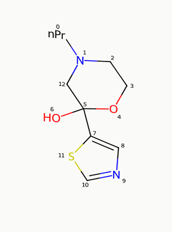 CCCN1CCOC(O)(c2cncs2)C1